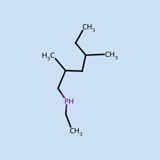 CCPCC(C)CC(C)CC